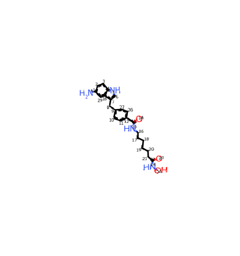 Nc1ccc2[nH]cc(Cc3ccc(C(=O)NCCCCCCC(=O)NO)cc3)c2c1